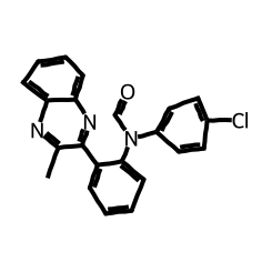 Cc1nc2ccccc2nc1-c1ccccc1N(C=O)c1ccc(Cl)cc1